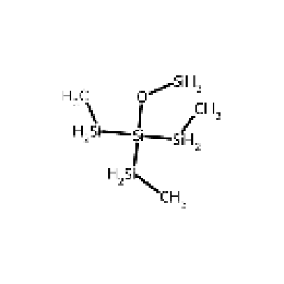 C[SiH2][Si](O[SiH3])([SiH2]C)[SiH2]C